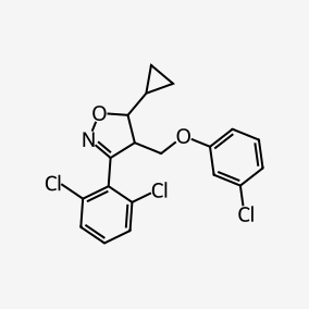 Clc1cccc(OCC2C(c3c(Cl)cccc3Cl)=NOC2C2CC2)c1